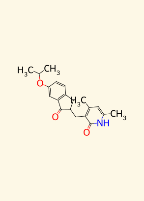 Cc1cc(C)c(CC2Cc3ccc(OC(C)C)cc3C2=O)c(=O)[nH]1